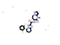 CN1C(=O)[C@@H](NC(=O)c2nc3n(n2)[C@@H](c2c(F)cccc2F)CCC3)CCn2nccc21